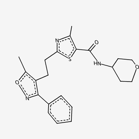 Cc1nc(CCc2c(-c3ccccc3)noc2C)sc1C(=O)NC1CCOCC1